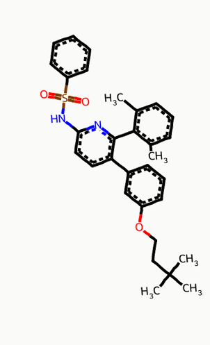 Cc1cccc(C)c1-c1nc(NS(=O)(=O)c2ccccc2)ccc1-c1cccc(OCCC(C)(C)C)c1